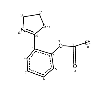 CCC(=O)Oc1ccccc1C1=NCCS1